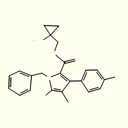 COC1(CNC(=O)c2c(-c3ccc(Cl)cc3)c(C)c(C(F)(F)F)n2Cc2ccccc2)CC1